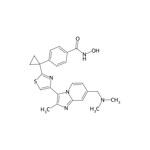 Cc1nc2cc(CN(C)C)ccn2c1-c1csc(C2(c3ccc(C(=O)NO)cc3)CC2)n1